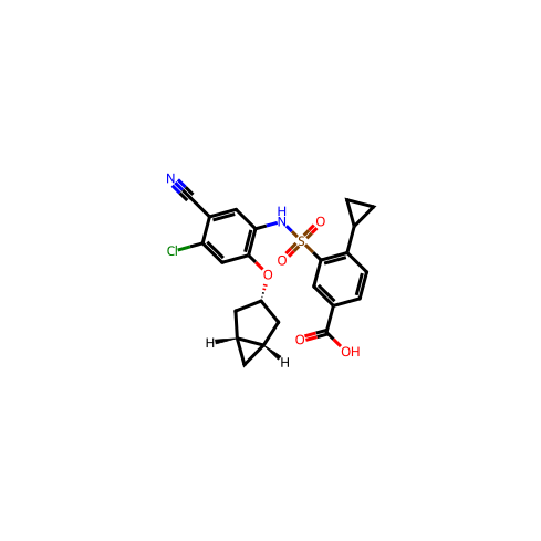 N#Cc1cc(NS(=O)(=O)c2cc(C(=O)O)ccc2C2CC2)c(O[C@@H]2C[C@@H]3C[C@@H]3C2)cc1Cl